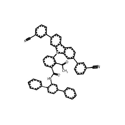 CC(=O)c1c(C(=O)Nc2cc(-c3ccccc3)ccc2-c2ccccc2)cccc1-n1c2cc(-c3cccc(C#N)c3)ccc2c2ccc(-c3cccc(C#N)c3)cc21